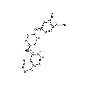 N#Cc1ccc(O[C@H]2CC[C@H](Nc3nccc4c3C=CCC4)CC2)cc1Br